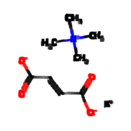 C[N+](C)(C)C.O=C([O-])/C=C/C(=O)[O-].[K+]